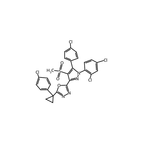 CS(=O)(=O)c1c(-c2nnc(C3(c4ccc(Cl)cc4)CC3)o2)nn(-c2ccc(Cl)cc2Cl)c1-c1ccc(Cl)cc1